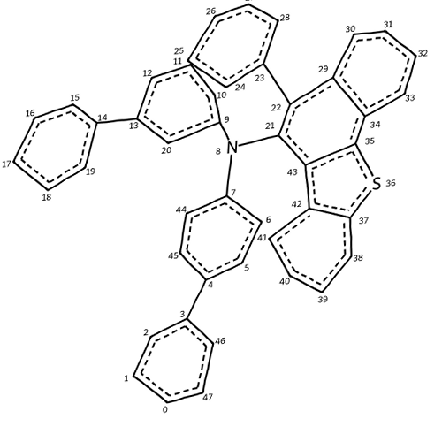 c1ccc(-c2ccc(N(c3cccc(-c4ccccc4)c3)c3c(-c4ccccc4)c4ccccc4c4sc5ccccc5c34)cc2)cc1